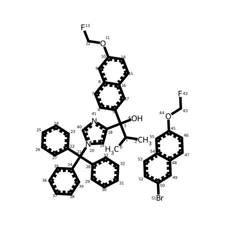 CC(C)C(O)(c1ccc2cc(OCF)ccc2c1)c1cn(C(c2ccccc2)(c2ccccc2)c2ccccc2)cn1.FCOc1ccc2cc(Br)ccc2c1